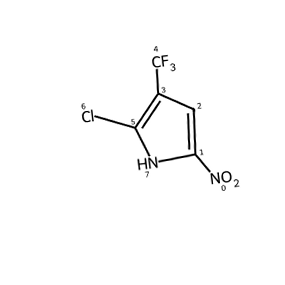 O=[N+]([O-])c1cc(C(F)(F)F)c(Cl)[nH]1